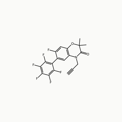 C#CCN1C(=O)C(C)(C)Oc2cc(F)c(-c3c(F)c(F)c(F)c(F)c3F)cc21